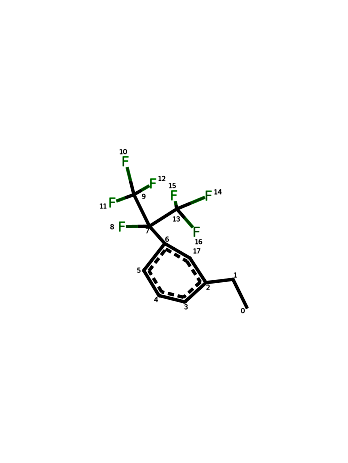 CCc1cccc(C(F)(C(F)(F)F)C(F)(F)F)c1